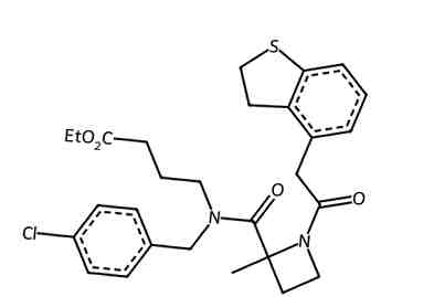 CCOC(=O)CCCN(Cc1ccc(Cl)cc1)C(=O)C1(C)CCN1C(=O)Cc1cccc2c1CCS2